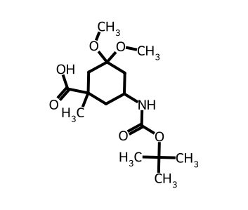 COC1(OC)CC(NC(=O)OC(C)(C)C)CC(C)(C(=O)O)C1